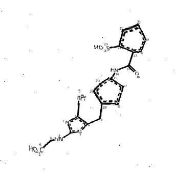 CCCc1nc(NCC(=O)O)sc1Cc1ccc(NC(=O)c2ccccc2S(=O)(=O)O)cc1